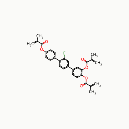 C=C(C)C(=O)Oc1ccc(-c2ccc(-c3ccc(OC(=O)C(=C)C)c(OC(=O)C(=C)C)c3)cc2F)cc1